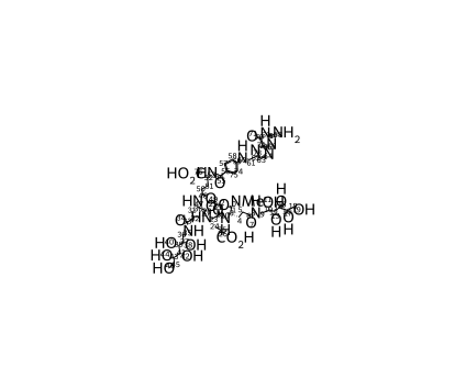 CNC(=O)[C@H](CCC(=O)NC[C@H](O)[C@@H](O)[C@H](O)[C@H](O)CO)NC(=O)[C@H](CCC(=O)O)NC(=O)[C@H](CCC(=O)NC[C@H](O)[C@@H](O)[C@H](O)[C@H](O)CO)NC(=O)CC[C@@H](NC(=O)c1ccc(NCc2cnc3nc(N)[nH]c(=O)c3n2)cc1)C(=O)O